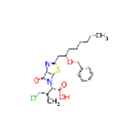 C=C(CCl)C(C(=O)O)N1C(=O)C2N=C(CC(CCCCCC)OCc3ccccc3)SC21